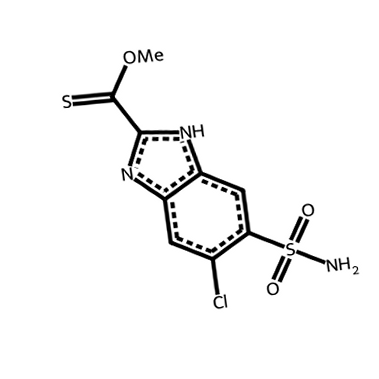 COC(=S)c1nc2cc(Cl)c(S(N)(=O)=O)cc2[nH]1